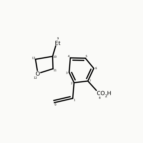 C=Cc1ccccc1C(=O)O.CCC1COC1